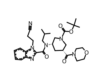 CC(C)CN(C(=O)c1nc2ccccc2n1CCC#N)[C@H]1C[C@@H](C(=O)N2CCOCC2)CN(C(=O)OC(C)(C)C)C1